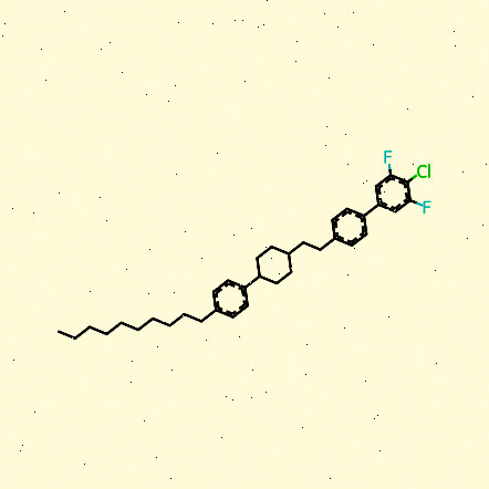 CCCCCCCCCCc1ccc(C2CCC(CCc3ccc(-c4cc(F)c(Cl)c(F)c4)cc3)CC2)cc1